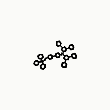 C(=C\[Si](c1ccccc1)(c1ccccc1)c1ccccc1)/c1ccc(-c2ccc(N(c3cc(-c4ccccc4)cc(-c4ccccc4)c3)c3cc(-c4ccccc4)cc(-c4ccccc4)c3)cc2)cc1